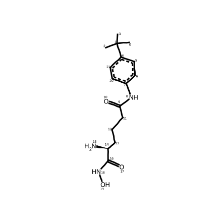 CC(C)(C)c1ccc(NC(=O)CCC[C@H](N)C(=O)NO)cc1